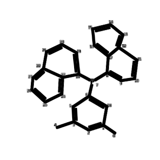 Cc1cc(C)cc(P(c2cccc3ccccc23)c2cccc3ccccc23)c1